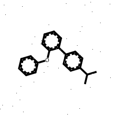 CC(C)c1ccc(-c2ccc[c]c2Oc2ccccc2)cc1